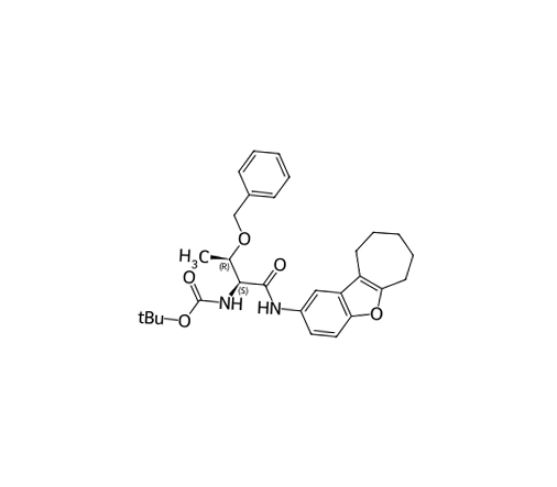 C[C@@H](OCc1ccccc1)[C@H](NC(=O)OC(C)(C)C)C(=O)Nc1ccc2oc3c(c2c1)CCCCC3